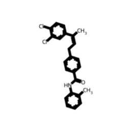 C/C(=C/Cc1ccc(C(=O)Nc2ccccc2C)cc1)c1ccc(Cl)c(Cl)c1